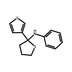 c1ccc(NC2(c3ccsc3)CCCS2)cc1